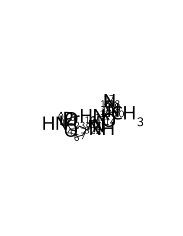 CC(C)NC(=O)OC1CC[C@H](c2cc(NC(=O)c3cncn3C)n[nH]2)C1